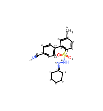 Cc1ccc(S(=O)(=O)NN=C2CCCCC2)c(-c2ccc(C#N)cc2)c1